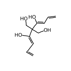 C=CC=C(O)C(CO)(CO)C(O)=CC=C